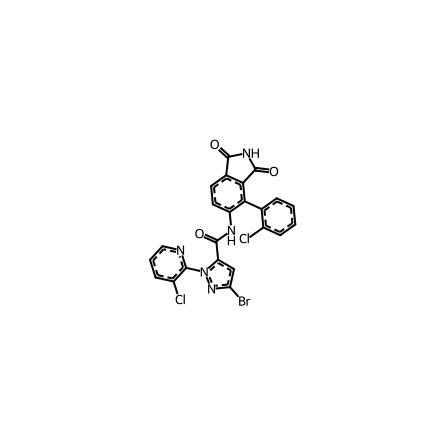 O=C1NC(=O)c2c1ccc(NC(=O)c1cc(Br)nn1-c1ncccc1Cl)c2-c1ccccc1Cl